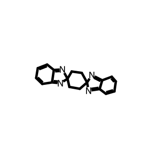 c1ccc2c(c1)=NC1(CCC3(CC1)N=c1ccccc1=N3)N=2